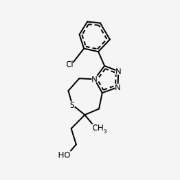 CC1(CCO)Cc2nnc(-c3ccccc3Cl)n2CCS1